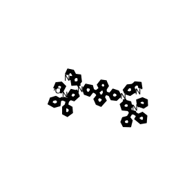 c1ccc(-c2c(-c3ccccc3)n(-c3ccccc3)c3cc(N(c4ccc(-c5c6ccccc6c(-c6ccc(N(c7ccc8cccnc8c7)c7ccc8c(-c9ccccc9)c(-c9ccccc9)n(-c9ccccc9)c8c7)cc6)c6ccccc56)cc4)c4ccc5cccnc5c4)ccc23)cc1